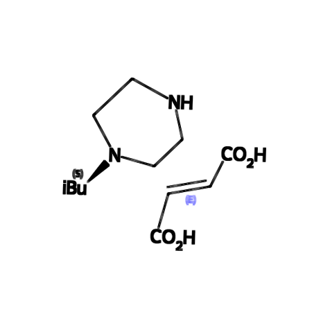 CC[C@H](C)N1CCNCC1.O=C(O)/C=C/C(=O)O